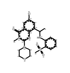 CC(Nc1ccccc1S(C)(=O)=O)c1cc(Cl)cc2c(=O)n(C)c(N3CCOCC3)nc12